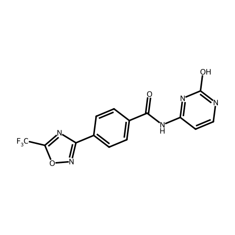 O=C(Nc1ccnc(O)n1)c1ccc(-c2noc(C(F)(F)F)n2)cc1